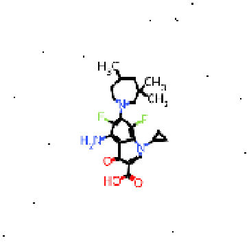 CC1CCN(c2c(F)c(N)c3c(=O)c(C(=O)O)cn(C4CC4)c3c2F)CC(C)(C)C1